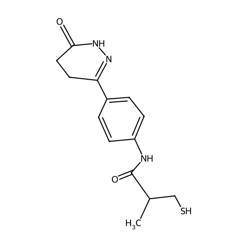 CC(CS)C(=O)Nc1ccc(C2=NNC(=O)CC2)cc1